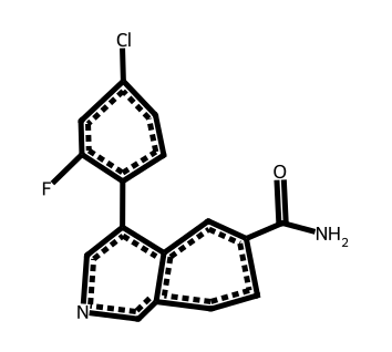 NC(=O)c1ccc2cncc(-c3ccc(Cl)cc3F)c2c1